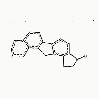 CCN1CCc2c1ccc1c2Cc2c-1ccc1ccccc21